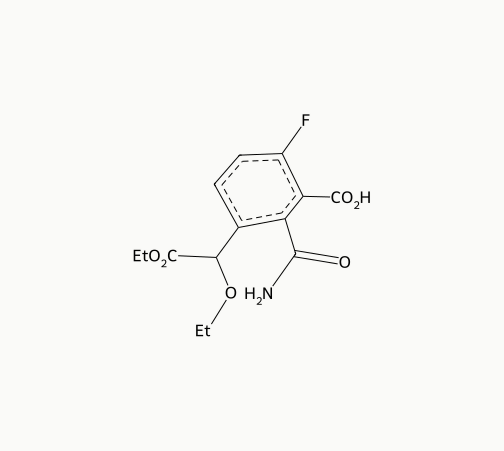 CCOC(=O)C(OCC)c1ccc(F)c(C(=O)O)c1C(N)=O